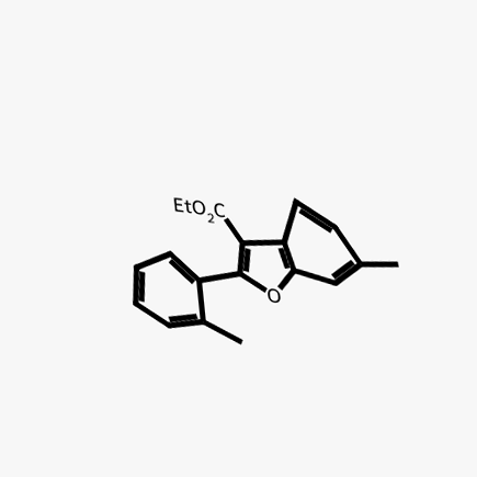 CCOC(=O)c1c(-c2ccccc2C)oc2cc(C)ccc12